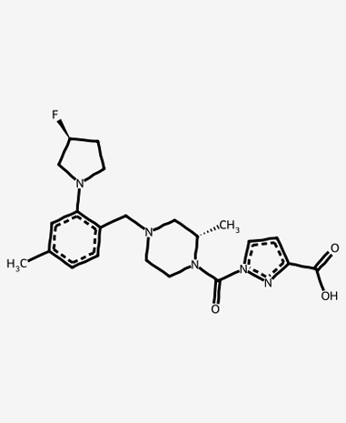 Cc1ccc(CN2CCN(C(=O)n3ccc(C(=O)O)n3)[C@@H](C)C2)c(N2CC[C@H](F)C2)c1